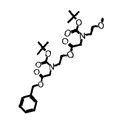 COCCN(CC(=O)OCCN(CC(=O)OCc1ccccc1)C(=O)OC(C)(C)C)C(=O)OC(C)(C)C